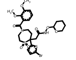 COc1cccc(C(=O)N2CCC(CC(=O)NOC3CCCCO3)(c3ccc(Br)s3)S(=O)(=O)CC2)c1OC